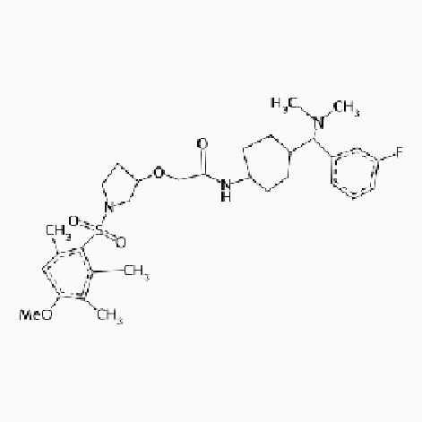 COc1cc(C)c(S(=O)(=O)N2CCC(OCC(=O)NC3CCC(C(c4cccc(F)c4)N(C)C)CC3)C2)c(C)c1C